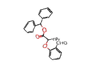 CCCC(Oc1ccccc1C=O)C(=O)OC(c1ccccc1)c1ccccc1